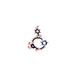 COc1cc2cc(c1OC)OCCCC(OC(=O)C1CCC(OC)CC1)CCN1CCCN(CCCOC2=O)CC1